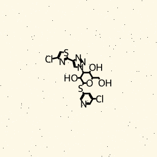 OCC1OC(Sc2cncc(Cl)c2)C(O)C(n2cc(-c3nc(Cl)cs3)nn2)C1O